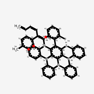 C=C/C=C\C(=C(/C)N1c2ccccc2B2c3ccccc3N3c4ccccc4B4c5ccccc5Sc5c4c3c2c1c5-c1c(F)cccc1F)c1ccc(C)cc1